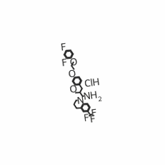 Cl.NC(C(C=O)Cc1ccc(OCCOc2ccc(F)cc2F)cc1)N1CCCc2cc(C(F)(F)F)ccc21